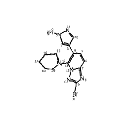 CC(C)n1cc(-c2ccc3nc(Br)nn3c2N2CCCCC2)cn1